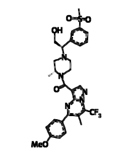 COc1ccc(-c2nc3c(C(=O)N4CCN([C@@H](CO)c5cccc(S(C)(=O)=O)c5)C[C@H]4C)cnn3c(C(F)(F)F)c2C)cc1